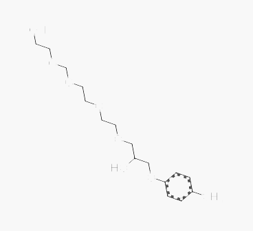 Cc1ccc(OCC(O)COCCOCCOCOCCO)cc1